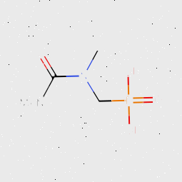 CNC(=O)N(C)CP(=O)(O)O